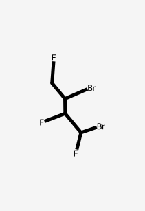 FCC(Br)C(F)C(F)Br